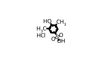 Cc1cc(S(=O)(=O)O)cc(C)c1O.Cl